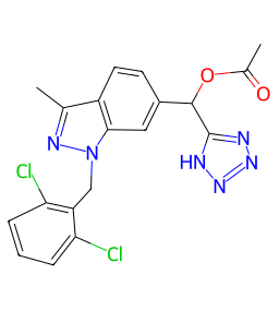 CC(=O)OC(c1ccc2c(C)nn(Cc3c(Cl)cccc3Cl)c2c1)c1nnn[nH]1